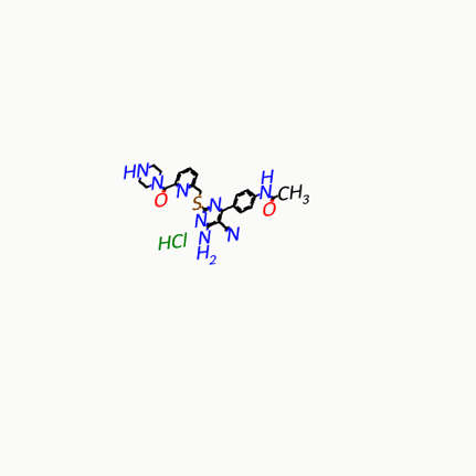 CC(=O)Nc1ccc(-c2nc(SCc3cccc(C(=O)N4CCNCC4)n3)nc(N)c2C#N)cc1.Cl